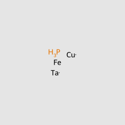 P.[Cu].[Fe].[Ta]